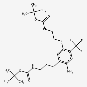 CC(C)(C)OC(=O)NCCSc1cc(SCCNC(=O)OC(C)(C)C)c(C(F)(F)F)cc1N